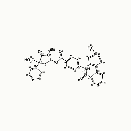 CCC(C)OC(=O)C(CCOC(=O)c1ccc(NC(=O)c2ccccc2-c2ccc(C(F)(F)F)cc2)cc1)(C(=O)O)c1ccccc1